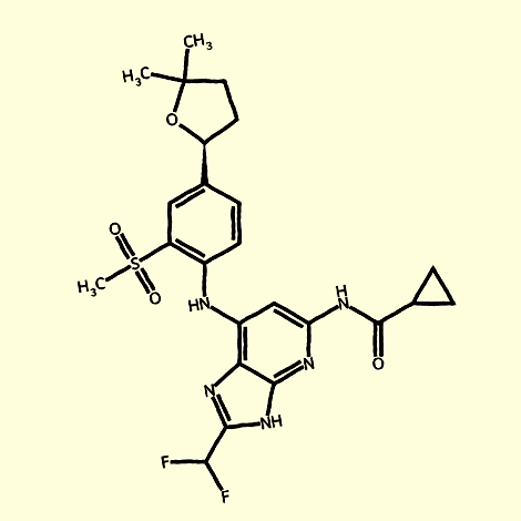 CC1(C)CC[C@@H](c2ccc(Nc3cc(NC(=O)C4CC4)nc4[nH]c(C(F)F)nc34)c(S(C)(=O)=O)c2)O1